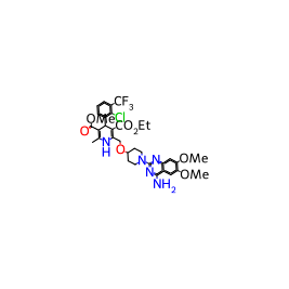 CCOC(=O)C1=C(COC2CCN(c3nc(N)c4cc(OC)c(OC)cc4n3)CC2)NC(C)=C(C(=O)OC)C1c1cccc(C(F)(F)F)c1Cl